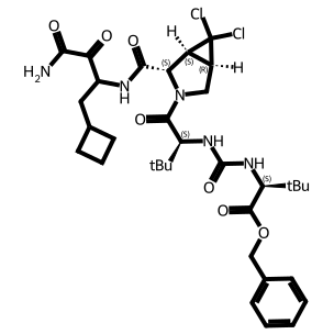 CC(C)(C)[C@H](NC(=O)N[C@H](C(=O)N1C[C@H]2[C@@H]([C@H]1C(=O)NC(CC1CCC1)C(=O)C(N)=O)C2(Cl)Cl)C(C)(C)C)C(=O)OCc1ccccc1